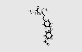 CC(=O)N[C@@H](C)CCc1ccc(Oc2ccc([N+](=O)[O-])cn2)cc1